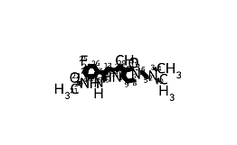 CCN(CC)CCN1CCc2[nH]c(C=C3CNC4=C(NC(C)=O)C=C(F)CC34)c(C)c2C1=O